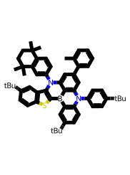 Cc1ccccc1-c1cc2c3c(c1)N(c1ccc4c(c1)C(C)(C)CCC4(C)C)c1c(sc4ccc(C(C)(C)C)cc14)B3c1cc(C(C)(C)C)ccc1N2c1ccc(C(C)(C)C)cc1